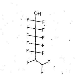 OC(F)(F)C(F)(F)C(F)(F)C(F)(F)C(F)(F)C(F)C(F)F